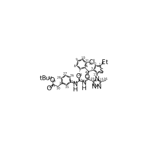 CCc1cc(C(=O)c2ccccc2Cl)c(-n2c(C)nnc2CNC(=O)Nc2cccc(CC(=O)OC(C)(C)C)c2)s1